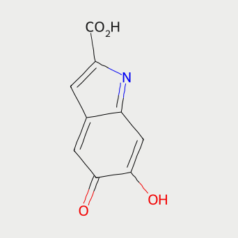 O=C(O)C1=CC2=CC(=O)C(O)=CC2=N1